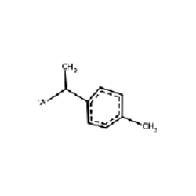 Cc1ccc([CH](C)[Al])cc1